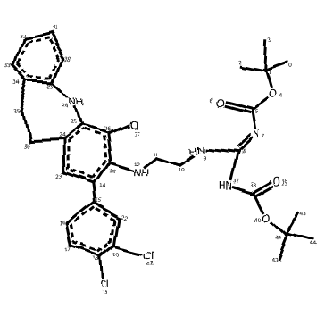 CC(C)(C)OC(=O)/N=C(\NCCNc1c(-c2ccc(Cl)c(Cl)c2)cc2c(c1Cl)Nc1ccccc1CC2)NC(=O)OC(C)(C)C